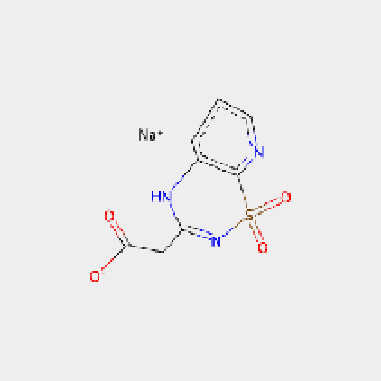 O=C([O-])CC1=NS(=O)(=O)c2ncccc2N1.[Na+]